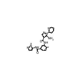 Cc1ccc(C(=O)Nc2ccnn2C)cc1NC(=O)c1cnn(-c2ccccn2)c1N